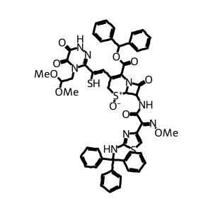 CON=C(C(=O)NC1C(=O)N2C(C(=O)OC(c3ccccc3)c3ccccc3)=C(C=C(S)c3n[nH]c(=O)c(=O)n3CC(OC)OC)C[S+]([O-])C12)c1csc(NC(c2ccccc2)(c2ccccc2)c2ccccc2)n1